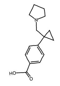 O=C(O)c1ccc(C2(CN3CCCC3)CC2)cc1